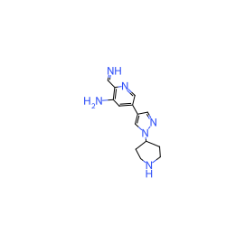 N=Cc1ncc(-c2cnn(C3CCNCC3)c2)cc1N